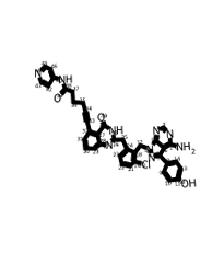 Nc1ncnc2c1c(-c1ccc(O)cc1)nn2Cc1c(Cl)cccc1Cc1nc2cccc(C#CCCCC(=O)Nc3ccncc3)c2c(=O)[nH]1